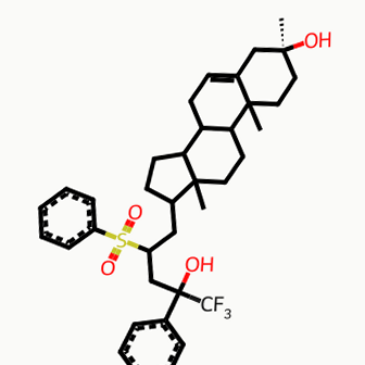 CC12CC[C@](C)(O)CC1=CCC1C2CCC2(C)C(CC(CC(O)(c3ccccc3)C(F)(F)F)S(=O)(=O)c3ccccc3)CCC12